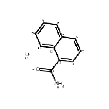 NC(=O)c1cccc2ccccc12.[Li]